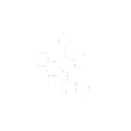 Cc1c(-c2ccc(F)cc2)c(C(=O)N(C)CC2CCOC2)n(Cc2ccccc2)c1C(F)(F)F